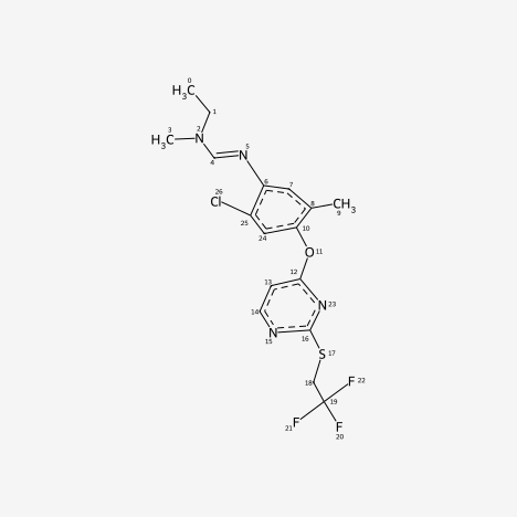 CCN(C)/C=N/c1cc(C)c(Oc2ccnc(SCC(F)(F)F)n2)cc1Cl